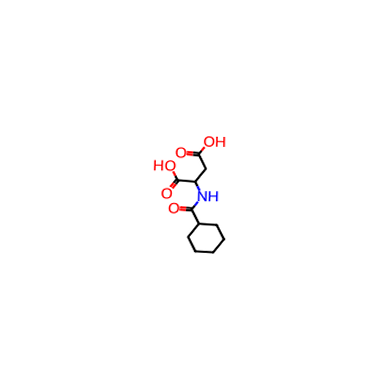 O=C(O)CC(NC(=O)C1CCCCC1)C(=O)O